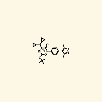 Cc1noc(C)c1-c1ccc(NC(=O)[C@@H](NC(=O)OC(C)(C)C)C(C2CC2)C2CC2)cc1